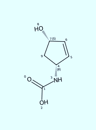 O=C(O)N[C@H]1C=C[C@@H](O)C1